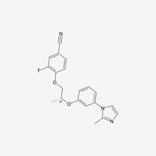 Cc1nccn1-c1cccc(O[C@H](C)COc2ccc(C#N)cc2F)c1